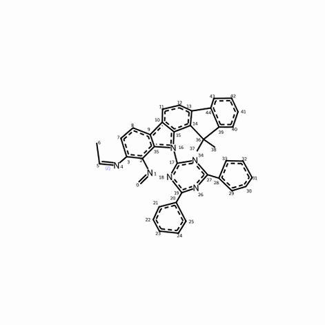 C=Nc1c(/N=C\C)ccc2c3ccc4c(c3n(-c3nc(-c5ccccc5)nc(-c5ccccc5)n3)c12)C(C)(C)c1ccccc1-4